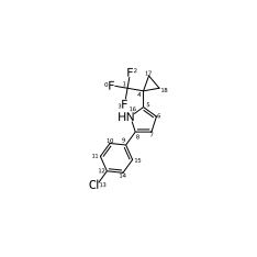 FC(F)(F)C1(c2ccc(-c3ccc(Cl)cc3)[nH]2)CC1